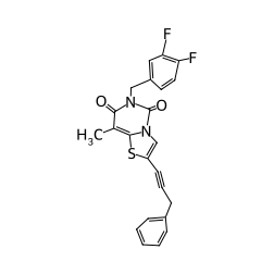 Cc1c(=O)n(Cc2ccc(F)c(F)c2)c(=O)n2cc(C#CCc3ccccc3)sc12